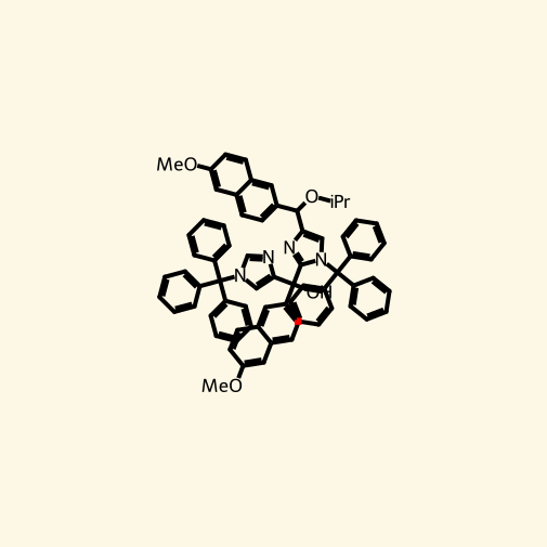 COc1ccc2cc(C(OC(C)C)c3cn(C(c4ccccc4)(c4ccccc4)c4ccccc4)c(C(O)(c4ccc5cc(OC)ccc5c4)c4cn(C(c5ccccc5)(c5ccccc5)c5ccccc5)cn4)n3)ccc2c1